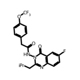 CC(C)Cc1nc2ccc(F)cc2c(=O)n1NC(=O)Cc1ccc(OC(F)(F)F)cc1